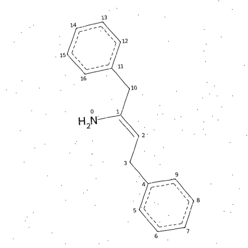 N/C(=C\Cc1ccccc1)Cc1ccccc1